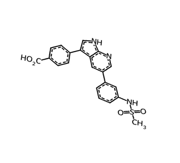 CS(=O)(=O)Nc1cccc(-c2cnc3[nH]cc(-c4ccc(C(=O)O)cc4)c3c2)c1